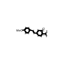 COc1ccc(C=Cc2ccc(C(F)F)c(Cl)c2)cc1